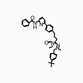 CCN(C=O)/C(CCCc1ccc(-c2cccc(NC(=O)c3ccccc3)n2)cc1)=N\N(C)Cc1ccc(C(C)(C)C)cc1